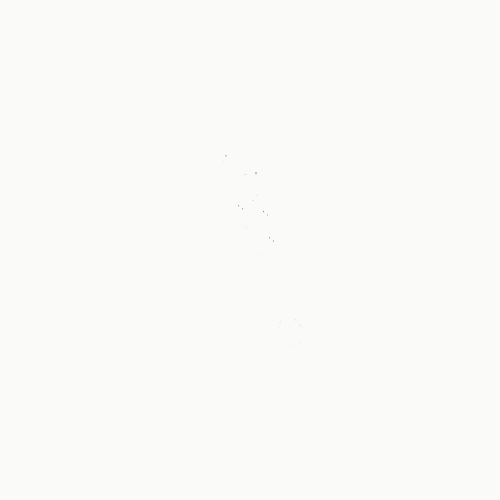 C[C@H]1O[C@@H](n2cc(F)c(NC(=O)OCCCc3ccccc3)nc2=O)[C@H](O)[C@@H]1O